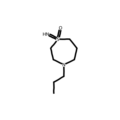 CCCN1CCCS(=N)(=O)CC1